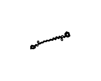 O=C(CCCCCCCCCCCCCCC(=O)OCc1ccccc1)OCc1ccccc1